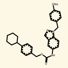 COc1ccc(Cn2ncc3cc(NC(=O)OCc4ccc(C5CCCCC5)cc4)ccc32)cc1